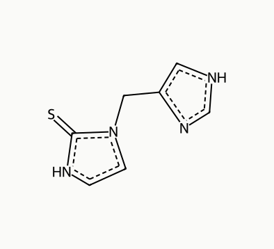 S=c1[nH]ccn1Cc1c[nH]cn1